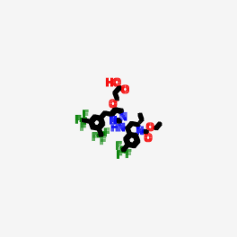 CCOC(=O)N1c2ccc(C(F)(F)F)cc2[C@@H](Nc2ncc(OCCC(=O)O)c(Cc3cc(C(F)(F)F)cc(C(F)(F)F)c3)n2)C[C@H]1CC